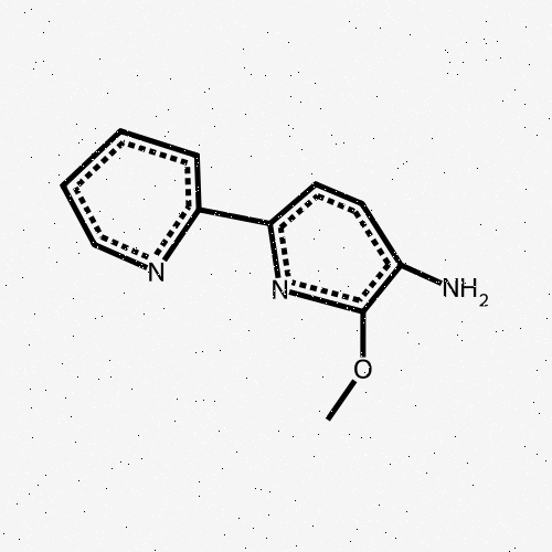 COc1nc(-c2ccccn2)ccc1N